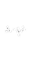 c1ccc(-c2nc3c(-c4ccc(-c5ccc6c7ccccc7n(-c7ccccc7)c6c5)cc4)cccc3c3c2ccc2oc4ccccc4c23)cc1